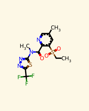 CCS(=O)(=O)c1cc(C)cnc1C(=O)N(C)c1nnc(C(F)(F)F)s1